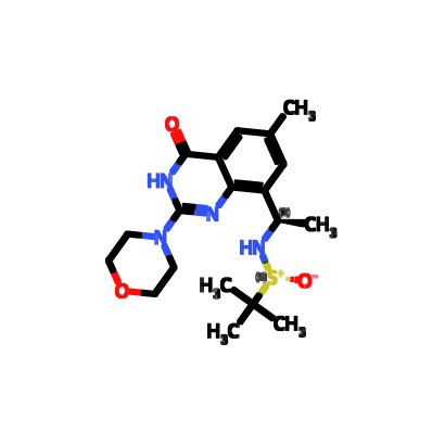 Cc1cc([C@@H](C)N[S@+]([O-])C(C)(C)C)c2nc(N3CCOCC3)[nH]c(=O)c2c1